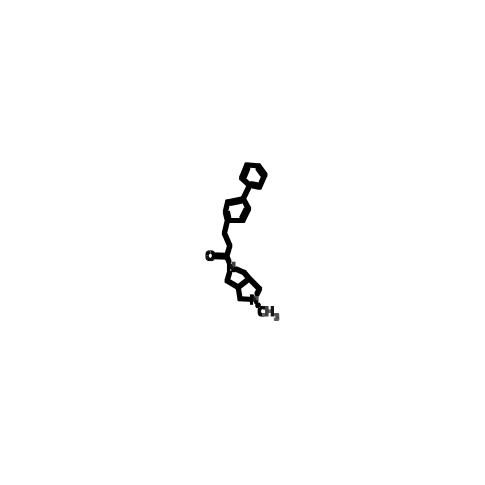 CN1CC2CN(C(=O)CCc3ccc(-c4ccccc4)cc3)CC2C1